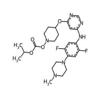 CC(C)OC(=O)ON1CCC(Oc2cc(Nc3cc(F)c(N4CCN(C)CC4)cc3F)ncn2)CC1